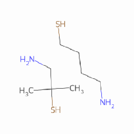 CC(C)(S)CN.NCCCCS